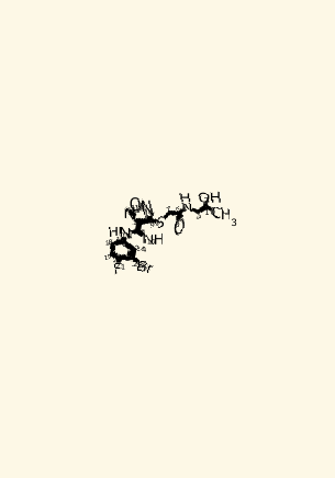 CC(O)CNC(=O)CSc1nonc1C(=N)Nc1ccc(F)c(Br)c1